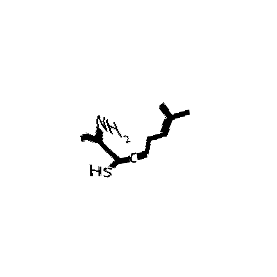 CC(C)=CCC=C=C(S)C(C)N